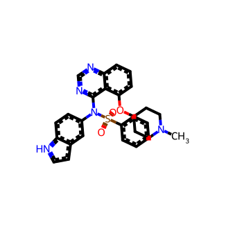 CN1CCC(Oc2cccc3ncnc(N(c4ccc5[nH]ccc5c4)S(=O)(=O)c4ccccc4)c23)CC1